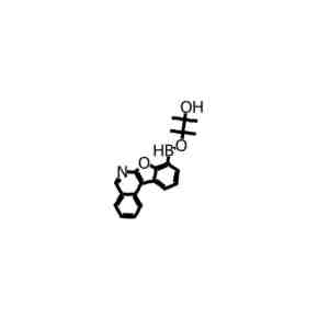 CC(C)(O)C(C)(C)OBc1cccc2c1oc1ncc3ccccc3c12